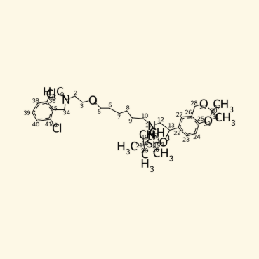 CN(CCOCCCCCCNCC(O[Si](C)(C)C(C)(C)C)c1ccc2c(c1)COC(C)(C)O2)Cc1c(Cl)cccc1Cl